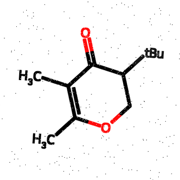 CC1=C(C)C(=O)C(C(C)(C)C)CO1